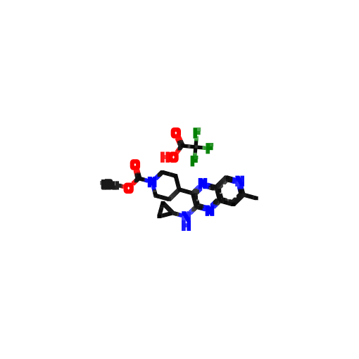 Cc1cc2nc(NC3CC3)c(C3CCN(C(=O)OC(C)(C)C)CC3)nc2cn1.O=C(O)C(F)(F)F